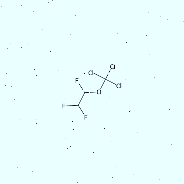 FC(F)C(F)OC(Cl)(Cl)Cl